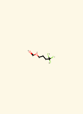 O=COCCCC(F)(F)F